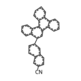 N#Cc1ccc2cc(-c3cc4c5ccccc5c5ccccc5c4c4ccccc34)ccc2c1